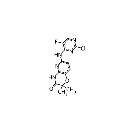 CC1(C)Oc2ccc(Nc3nc(Cl)ncc3F)nc2NC1=O